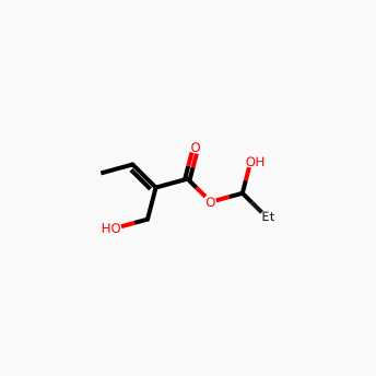 CC=C(CO)C(=O)OC(O)CC